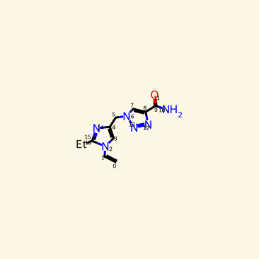 C=Cn1cc(Cn2cc(C(N)=O)nn2)nc1CC